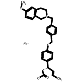 CC=C[C@H](CC(=O)[O-])c1ccc(OCc2ccc(CN3CCc4cc(OC)ccc4C3)cc2)cc1.[Na+]